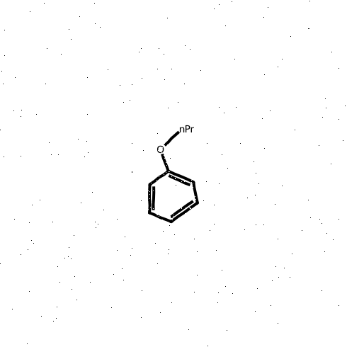 CCCOc1ccccc1